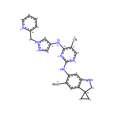 COc1cc2c(cc1Nc1ncc(C#N)c(Nc3cnn(Cc4ccccn4)c3)n1)NCC21CC1